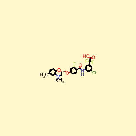 Cc1ccc2c(c1)N(C)C[C@@H](COc1ccc(C(=O)Nc3cc(Cl)cc(C(F)(F)C(=O)O)c3)c(F)c1)O2